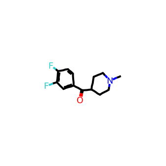 CN1CCC(C(=O)c2ccc(F)c(F)c2)CC1